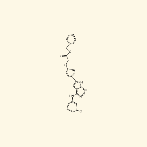 O=C(COc1ccc(-c2cc3c(Nc4cccc(Cl)c4)ncnc3[nH]2)cc1)OCc1ccccc1